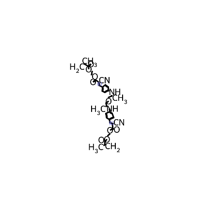 C=C(C)C(=O)OCCOC(=O)/C(C#N)=C/c1ccc(NC(C)COCC(C)Nc2ccc(/C=C(\C#N)C(=O)OCCOC(=O)C(=C)C)cc2)cc1